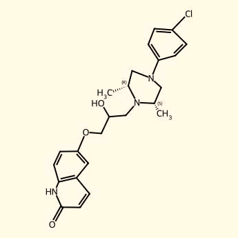 C[C@@H]1CN(c2ccc(Cl)cc2)C[C@H](C)N1CC(O)COc1ccc2[nH]c(=O)ccc2c1